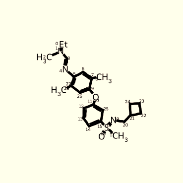 CCN(C)C=Nc1cc(C)c(Oc2cccc(S(C)(=O)=NCC3CCC3)c2)cc1C